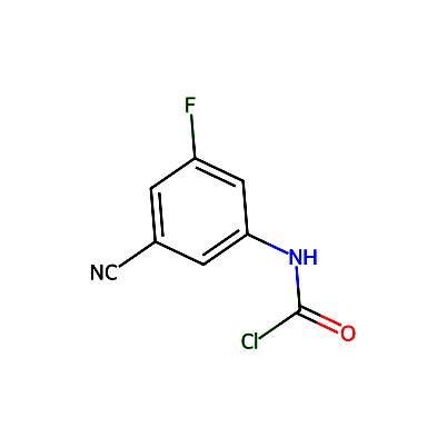 N#Cc1cc(F)cc(NC(=O)Cl)c1